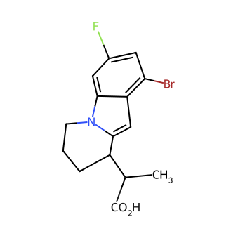 CC(C(=O)O)C1CCCn2c1cc1c(Br)cc(F)cc12